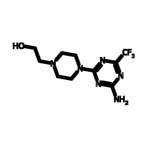 Nc1nc(N2CCN(CCO)CC2)nc(C(F)(F)F)n1